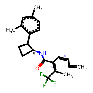 C=C/C=C\C(C(=O)N[C@H]1CCC1c1ccc(C)cc1C)=C(/C)C(F)(F)F